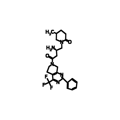 CC1CCC(=O)N(C[C@H](N)CC(=O)N2CCc3c(nc(-c4ccccc4)nc3C(F)(F)F)C2)C1